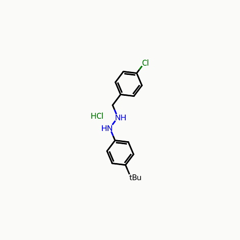 CC(C)(C)c1ccc(NNCc2ccc(Cl)cc2)cc1.Cl